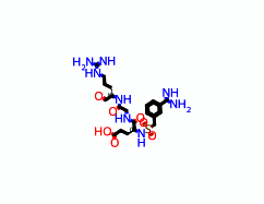 N=C(N)NCCC[C@@H](C=O)NC(=O)CNC(=O)[C@H](CCC(=O)O)NS(=O)(=O)Cc1cccc(C(=N)N)c1